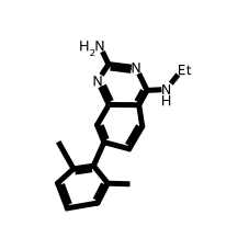 CCNc1nc(N)nc2cc(-c3c(C)cccc3C)ccc12